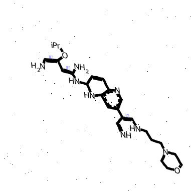 CC(C)OC(/C=C(\N)NC1C=Cc2ncc(/C(C=N)=C/NCCCN3CCOCC3)cc2N1)=C/N